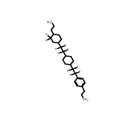 CCCc1ccc(C(F)(F)C(F)(F)C2CCC(C(F)(F)C(F)(F)C3CCC(CCC)C(F)(F)C3)CC2)cc1